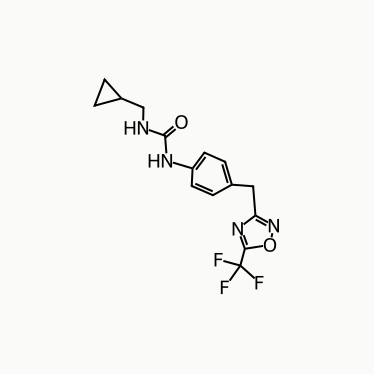 O=C(NCC1CC1)Nc1ccc(Cc2noc(C(F)(F)F)n2)cc1